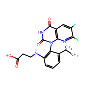 CC(C)c1cccc(NCCC(=O)O)c1-n1c(=O)[nH]c(=O)c2cc(F)c(Cl)nc21